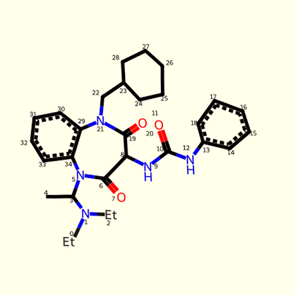 CCN(CC)C(C)N1C(=O)C(NC(=O)Nc2ccccc2)C(=O)N(CC2CCCCC2)c2ccccc21